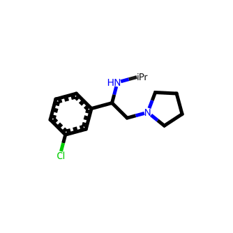 CC(C)NC(CN1CCCC1)c1cccc(Cl)c1